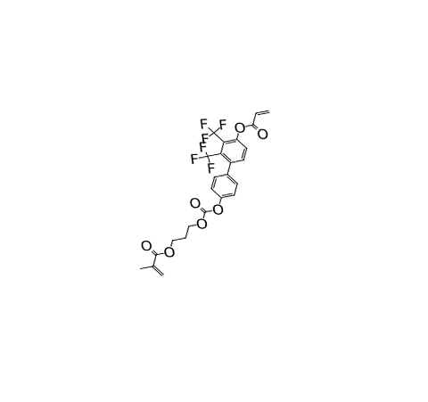 C=CC(=O)Oc1ccc(-c2ccc(OC(=O)OCCCOC(=O)C(=C)C)cc2)c(C(F)(F)F)c1C(F)(F)F